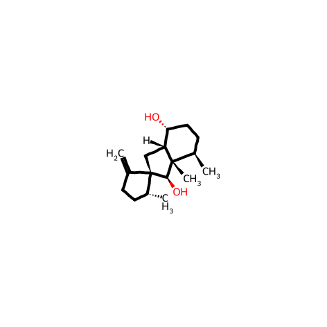 C=C1CC[C@@H](C)[C@]12C[C@@H]1[C@H](O)CC[C@@H](C)[C@]1(C)[C@H]2O